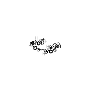 CC(C)(C)NS(=O)(=O)c1cccc(Nc2ccnc(Nc3ccc(OCCCNCC(=O)Nc4cccc5c4C(=O)N(C4CCCC(=O)NC4=O)C5=O)cc3)n2)c1